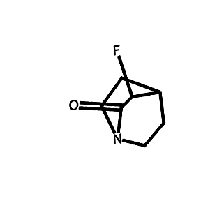 O=C1C(F)C2CCN1CC2